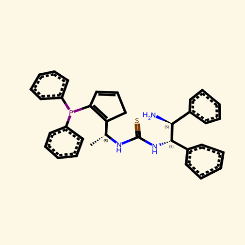 C[C@@H](NC(=S)N[C@@H](c1ccccc1)[C@@H](N)c1ccccc1)C1=C(P(c2ccccc2)c2ccccc2)C=CC1